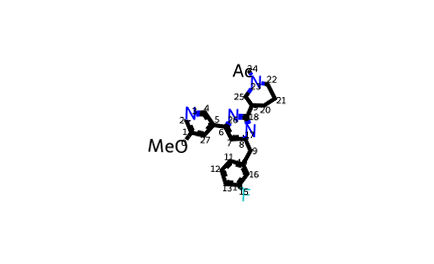 COc1cncc(-c2cc(Cc3cccc(F)c3)nc(C3CCCN(C(C)=O)C3)n2)c1